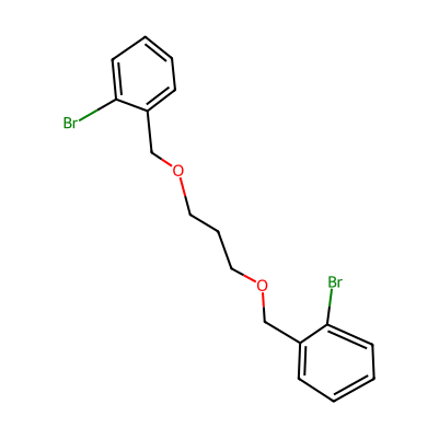 Brc1ccccc1COCCCOCc1ccccc1Br